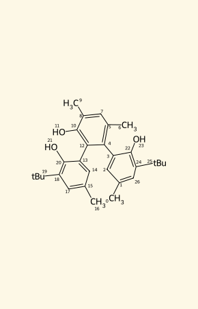 Cc1cc(-c2c(C)cc(C)c(O)c2-c2cc(C)cc(C(C)(C)C)c2O)c(O)c(C(C)(C)C)c1